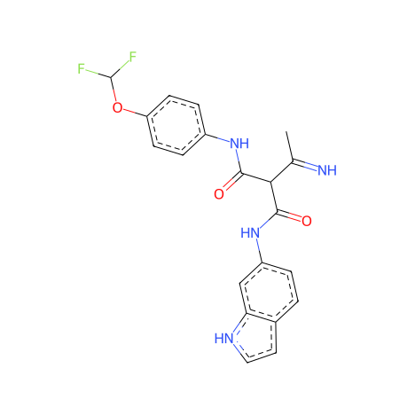 CC(=N)C(C(=O)Nc1ccc(OC(F)F)cc1)C(=O)Nc1ccc2cc[nH]c2c1